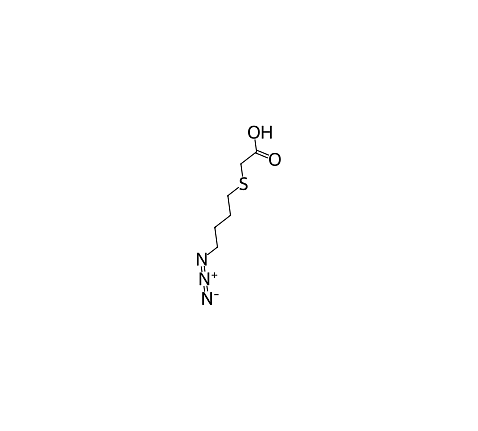 [N-]=[N+]=NCCCCSCC(=O)O